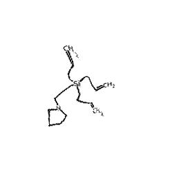 C=CC[Si](CC=C)(CC=C)CN1CCCC1